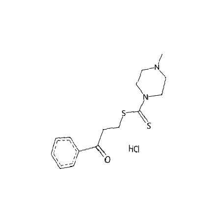 CN1CCN(C(=S)SCCC(=O)c2ccccc2)CC1.Cl